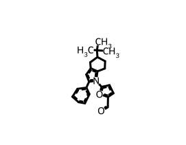 CC(C)(C)C1CCc2c(cc(-c3ccccc3)n2-c2ccc(C=O)o2)C1